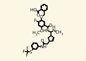 CNC(NC(=O)c1cc(OCc2ccccc2C(=O)O)c(F)cc1OC)C1C=CC(CC(=O)Nc2cccc(SC(F)(F)F)c2)C1